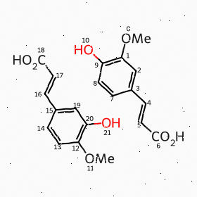 COc1cc(/C=C/C(=O)O)ccc1O.COc1ccc(/C=C/C(=O)O)cc1O